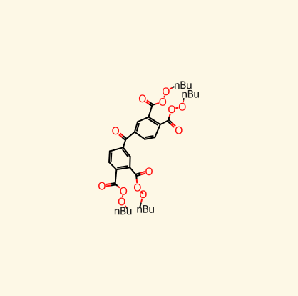 CCCCOOC(=O)c1ccc(C(=O)c2ccc(C(=O)OOCCCC)c(C(=O)OOCCCC)c2)cc1C(=O)OOCCCC